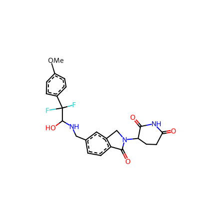 COc1ccc(C(F)(F)C(O)NCc2ccc3c(c2)CN(C2CCC(=O)NC2=O)C3=O)cc1